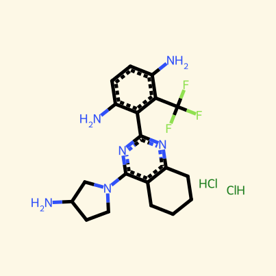 Cl.Cl.Nc1ccc(N)c(C(F)(F)F)c1-c1nc2c(c(N3CCC(N)C3)n1)CCCC2